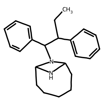 CCC(c1ccccc1)C(c1ccccc1)N1C2CCCCCC1N2